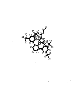 CCCC1CCCc2c1sc(=S)n2-c1c(-c2cc(C(C)(C)C)cc(C(C)(C)C)c2)cccc1-c1cc(C(C)(C)C)cc(C(C)(C)C)c1